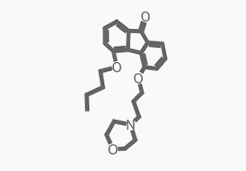 CCCCOc1cccc2c1-c1c(OCCCN3CCOCC3)cccc1C2=O